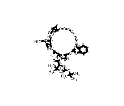 CC[C@@H]1C[C@@]12NC(=O)[C@@H]1C[C@H](CN1C(=O)C(NC(=O)OC(C)(C)C)C(C)(C)C)Oc1nc3ccccc3n1CCCCCCCC1(CC1)S(=O)(=O)NC2=O